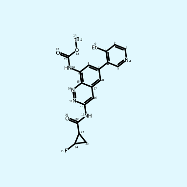 CCc1ccncc1-c1cc(NC(=O)OC(C)(C)C)c2nnc(NC(=O)C3CC3F)cc2c1